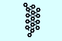 Cc1ccccc1N(c1cc2c3c(c1)N(c1ccccc1)c1ccccc1N3c1cc3c(cc1B2c1ccccc1)B(c1ccccc1)c1cc(N(c2ccccc2C)c2cc(-c4ccccc4)ccc2C)cc2c1N3c1ccccc1N2c1ccccc1)c1cc(-c2ccccc2)ccc1C